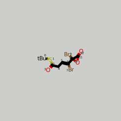 CC(C)(C)SC(=O)CC=C(Br)C1(Br)OC1=O